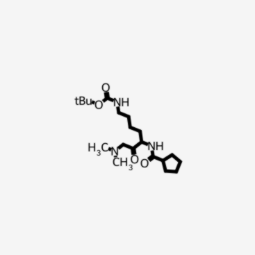 CN(C)CC(=O)C(CCCCNC(=O)OC(C)(C)C)NC(=O)C1CCCC1